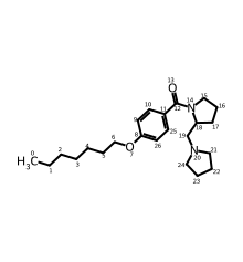 CCCCCCCOc1ccc(C(=O)N2CCCC2CN2CCCC2)cc1